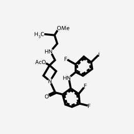 COC(C)CNCC1(OC(C)=O)CN(C(=O)c2ccc(F)c(F)c2Nc2ccc(I)cc2F)C1